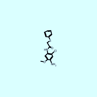 COc1cc(NC(=O)CSc2ccccc2)c(Cl)cc1N